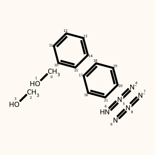 CO.CO.[N-]=[N+]=N.[N-]=[N+]=[N-].c1ccccc1.c1ccccc1